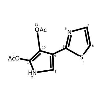 CC(=O)Oc1[nH]cc(-c2nccs2)c1OC(C)=O